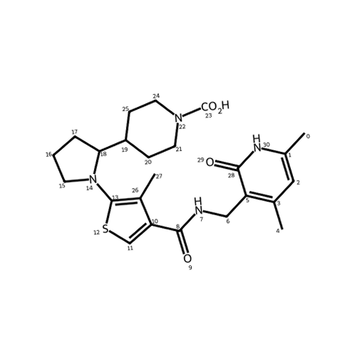 Cc1cc(C)c(CNC(=O)c2csc(N3CCCC3C3CCN(C(=O)O)CC3)c2C)c(=O)[nH]1